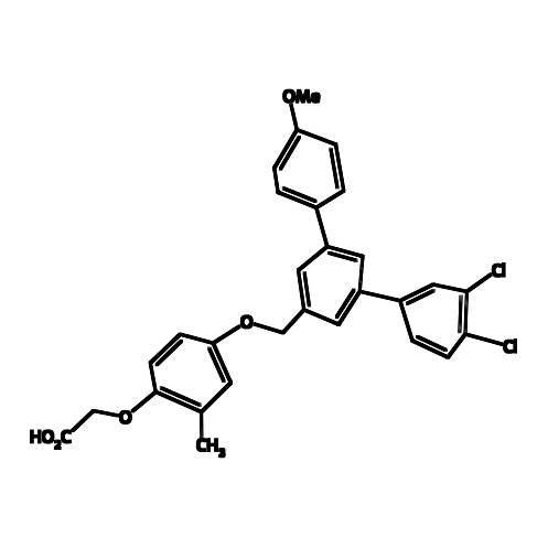 COc1ccc(-c2cc(COc3ccc(OCC(=O)O)c(C)c3)cc(-c3ccc(Cl)c(Cl)c3)c2)cc1